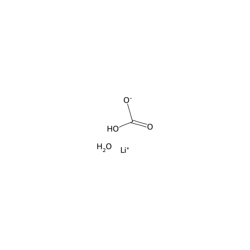 O.O=C([O-])O.[Li+]